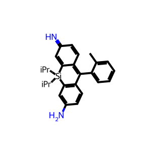 Cc1ccccc1C1=C2C=CC(=N)C=C2[Si](C(C)C)(C(C)C)c2cc(N)ccc21